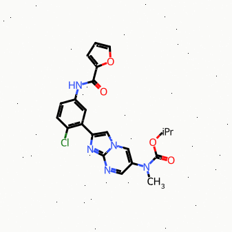 CC(C)OC(=O)N(C)c1cnc2nc(-c3cc(NC(=O)c4ccco4)ccc3Cl)cn2c1